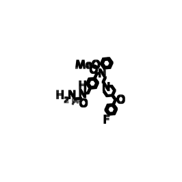 COc1ccccc1N(CCN1CCC(C(=O)c2ccc(F)cc2)CC1)C(=O)c1ccc(CNC(=O)[C@H](C)N)cc1